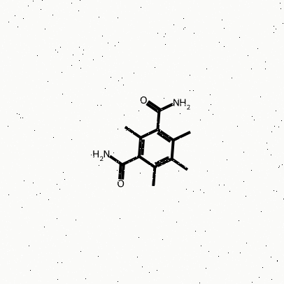 Cc1c(C)c(C(N)=O)c(C)c(C(N)=O)c1C